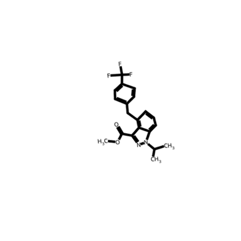 COC(=O)c1nn(C(C)C)c2cccc(Cc3ccc(C(F)(F)F)cc3)c12